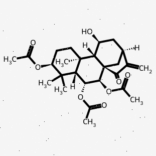 C=C1C(=O)[C@]23C[C@H]1C[C@H](O)[C@H]2[C@]1(C)CC[C@H](OC(C)=O)C(C)(C)[C@H]1[C@@H](OC(C)=O)[C@@H]3OC(C)=O